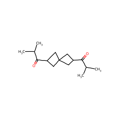 CC(C)C(=O)C1CC2(C1)CC(C(=O)C(C)C)C2